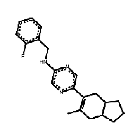 CC1=C(c2cnc(NCc3ccccc3F)cn2)CC2CCCC2C1